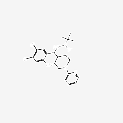 CC(C)(C)[S+]([O-])NC(c1cc(Cl)c(Cl)cc1O)C1CCN(c2ccccn2)CC1